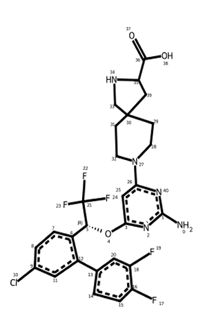 Nc1nc(O[C@H](c2ccc(Cl)cc2-c2ccc(F)c(F)c2)C(F)(F)F)cc(N2CCC3(CC2)CNC(C(=O)O)C3)n1